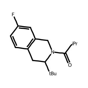 CC(C)C(=O)N1Cc2cc(F)ccc2CC1C(C)(C)C